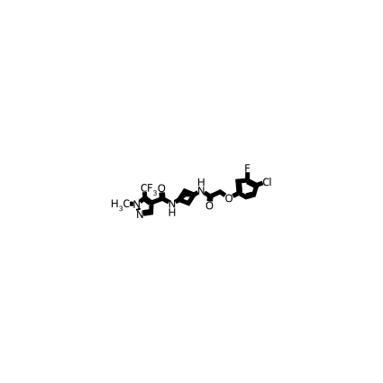 Cn1ncc(C(=O)NC23CC(NC(=O)COc4ccc(Cl)c(F)c4)(C2)C3)c1C(F)(F)F